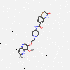 CCOc1c(OCCN2CCC(NC(=O)c3ccc4c(c3)NC(=O)CS4)CC2)cnc2ccc(OC)nc12